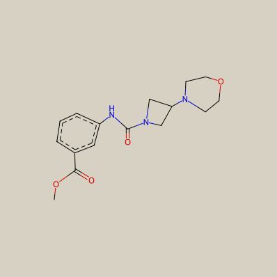 COC(=O)c1cccc(NC(=O)N2CC(N3CCOCC3)C2)c1